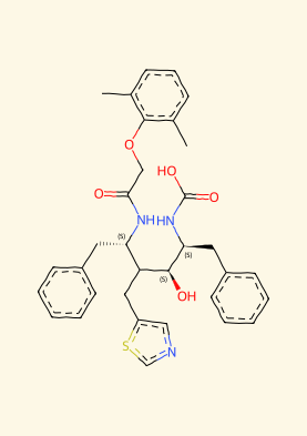 Cc1cccc(C)c1OCC(=O)N[C@@H](Cc1ccccc1)C(Cc1cncs1)[C@H](O)[C@H](Cc1ccccc1)NC(=O)O